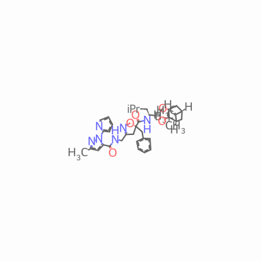 Cc1cc(C(=O)NCC2=NOC(Cc3ccccc3)(C(=O)N[C@@H](CC(C)C)B3O[C@@H]4C[C@@H]5C[C@@H](C5(C)C)[C@]4(C)O3)C2)n(-c2ccccn2)n1